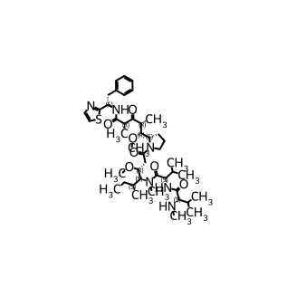 CC[C@H](C)[C@@H]([C@@H](CC(=O)N1CCC[C@H]1[C@H](OC)[C@@H](C)C(=O)[C@@H](C)C(=O)N[C@@H](Cc1ccccc1)c1nccs1)OC)N(C)C(=O)[C@@H](NC(=O)[C@@H](NC)C(C)C)C(C)C